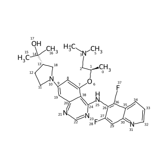 C[C@H](CN(C)C)Oc1cc(N2CC[C@H](C(C)(C)O)C2)cc2ncnc(Nc3c(F)cc4ncccc4c3F)c12